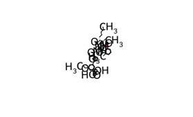 CCCCC[C@@H](C(=O)NCNC(=O)c1ccc(-c2cc(OCC)cc(P(=O)(O)O)c2)o1)[C@@H](CC)N(C=O)OC(=O)c1c(C)cccc1F